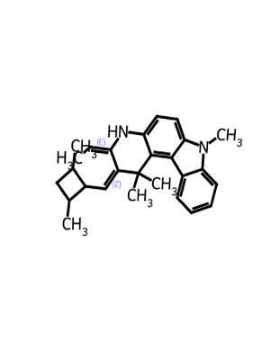 C/C=C1/Nc2ccc3c(c2C(C)(C)/C1=C/C1C(C)CC1C)c1ccccc1n3C